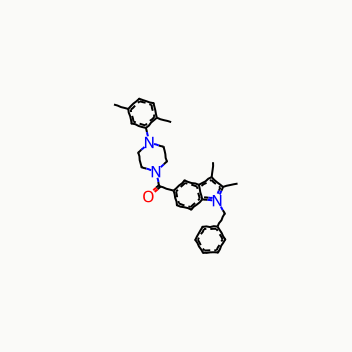 Cc1ccc(C)c(N2CCN(C(=O)c3ccc4c(c3)c(C)c(C)n4Cc3ccccc3)CC2)c1